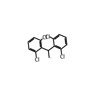 [CH2]C(c1c(Cl)cccc1Cl)c1c(Cl)cccc1Cl